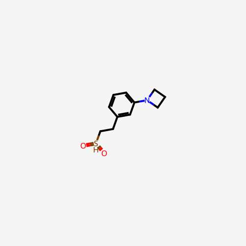 O=[SH](=O)CCc1cccc(N2CCC2)c1